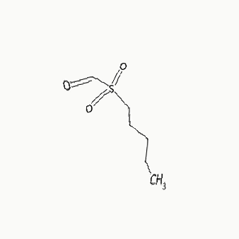 CCCCCS(=O)(=O)C=O